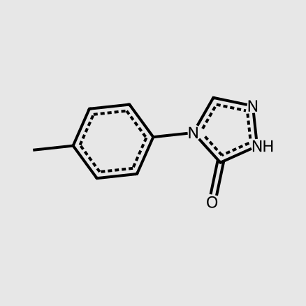 Cc1ccc(-n2cn[nH]c2=O)cc1